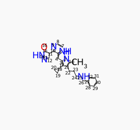 Cc1[nH]c(C=C2NC=CN=C2C2C=NNC2=O)c(C2CC2)c1CCCNCc1ccccc1